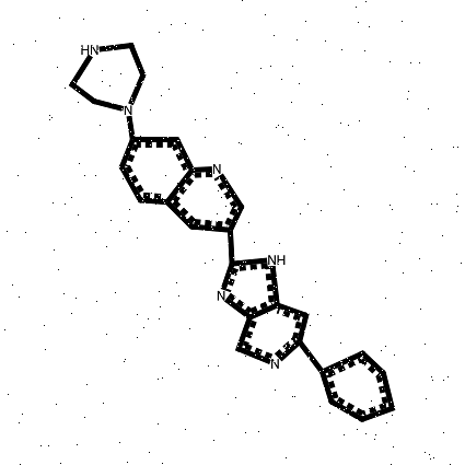 c1ccc(-c2cc3[nH]c(-c4cnc5cc(N6CCNCC6)ccc5c4)nc3cn2)cc1